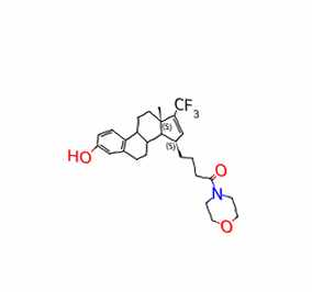 C[C@]12CCC3c4ccc(O)cc4CCC3C1[C@H](CCCC(=O)N1CCOCC1)C=C2C(F)(F)F